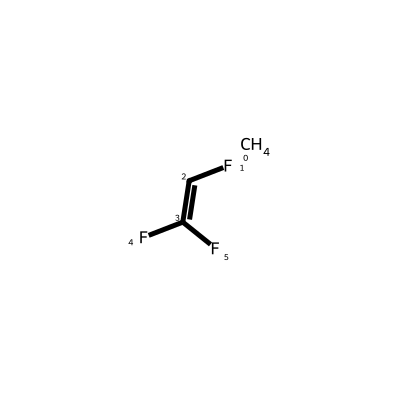 C.FC=C(F)F